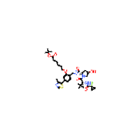 Cc1ncsc1-c1ccc(CNC(=O)[C@@H]2C[C@@H](O)CN2C(=O)[C@@H](NC(=O)C2(F)CC2)C(C)(C)C)c(OCCCCCC(=O)OC(C)(C)C)c1